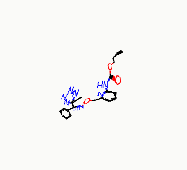 C#CCCOC(=O)Nc1cccc(CO/N=C(/c2ccccc2)C2(C)N=NN=N2)n1